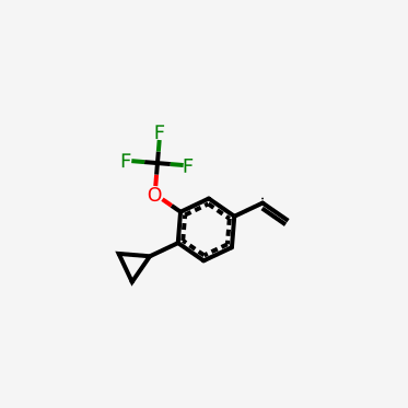 C=[C]c1ccc(C2CC2)c(OC(F)(F)F)c1